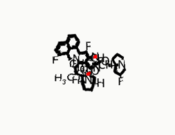 C#Cc1c(F)ccc2cccc(-c3nc4c5c(nc(OC[C@@]67CCCN6C[C@H](F)C7)nc5c3F)N3C[C@H]5CC[C@@H]([C@H]3[C@@H](C)C4)N5C(=O)OC(C)(C)C)c12